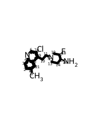 Cc1ccc2ncc(Cl)c(CCN3CC[C@H](N)[C@@H](F)C3)c2c1